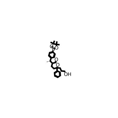 C[C@H](c1ccc(B2OC(C)(C)C(C)(C)O2)cc1)C1CCC(CCCO)(c2ccccc2)OC1=O